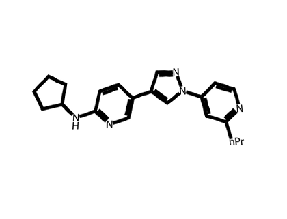 CCCc1cc(-n2cc(-c3ccc(NC4CCCC4)nc3)cn2)ccn1